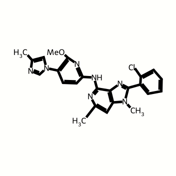 COc1nc(Nc2nc(C)cc3c2nc(-c2ccccc2Cl)n3C)ccc1-n1cnc(C)c1